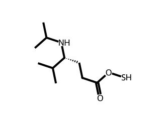 CC(C)N[C@H](CCC(=O)OS)C(C)C